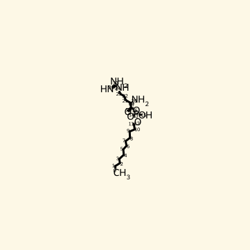 CCCCCCCCCCCCOP(=O)(O)OC(=O)[C@@H](N)CCCNC(=N)N